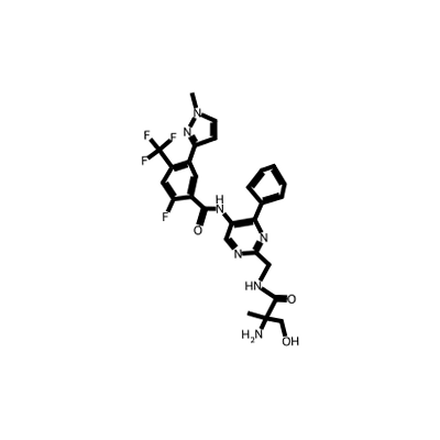 Cn1ccc(-c2cc(C(=O)Nc3cnc(CNC(=O)C(C)(N)CO)nc3-c3ccccc3)c(F)cc2C(F)(F)F)n1